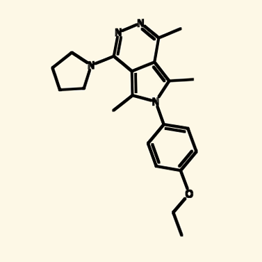 CCOc1ccc(-n2c(C)c3c(C)nnc(N4CCCC4)c3c2C)cc1